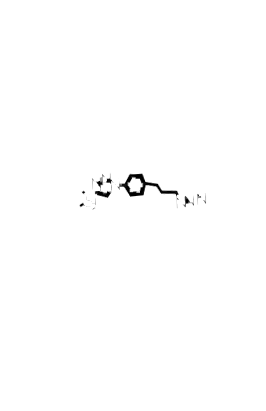 C[Si](C)(C)c1cn(-c2ccc(CCCN=[N+]=[N-])cc2)nn1